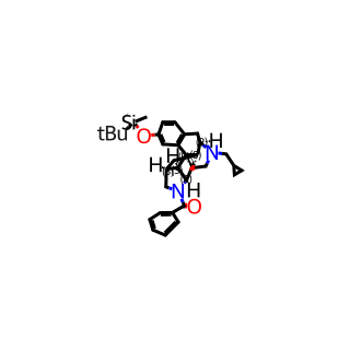 CC(C)(C)[Si](C)(C)Oc1ccc2c(c1)[C@]13CCN(CC4CC4)[C@H](C2)[C@]12CC[C@@H]1[C@H]3[C@@H](CN1C(=O)c1ccccc1)C2